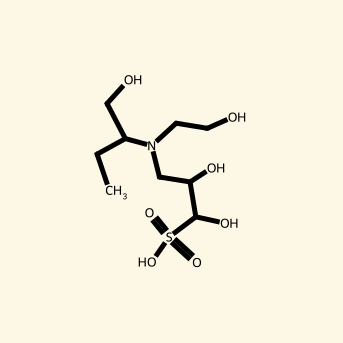 CCC(CO)N(CCO)CC(O)C(O)S(=O)(=O)O